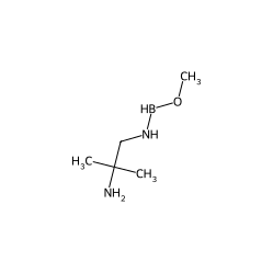 COBNCC(C)(C)N